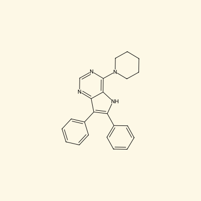 c1ccc(-c2[nH]c3c(N4CCCCC4)ncnc3c2-c2ccccc2)cc1